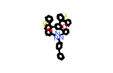 c1ccc(-c2ccc(-c3nc(-c4ccccc4)nc(-c4cccc5oc6c(-c7cccc8sc9ccccc9c78)cc(-c7cccc8sc9ccccc9c78)cc6c45)n3)cc2)cc1